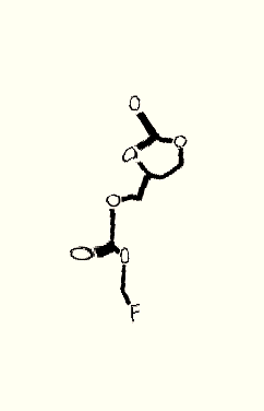 O=C(OCF)OCC1COC(=O)O1